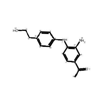 CC(=O)c1ccc(Nc2ccc(CCO)cc2)c(N)c1